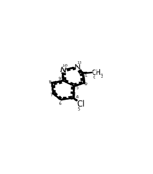 Cc1cc2c(Cl)cccc2nn1